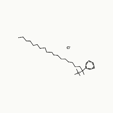 CCCCCCCCCCCCCCCCCCC(C)(c1ccccc1)[N+](C)(C)C.[Cl-]